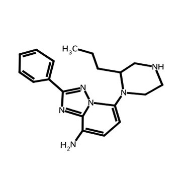 CCCC1CNCCN1c1ccc(N)c2nc(-c3ccccc3)nn12